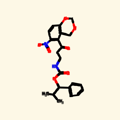 CC(C)C(OC(=O)NCCC(=O)c1c([N+](=O)[O-])ccc2c1COCO2)c1ccccc1